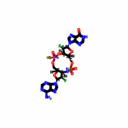 Nc1ncnc2c1ncn2[C@@H]1O[C@@H]2CO[P@@](=O)(S)O[C@H]3[C@@H](F)[C@H](n4cnc5c(=O)[nH]cnc54)O[C@@H]3COS(=O)(=O)N[C@H]2[C@H]1F